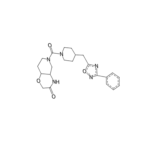 O=C1COC2CCN(C(=O)N3CCC(Cc4nc(-c5ccccc5)no4)CC3)CC2N1